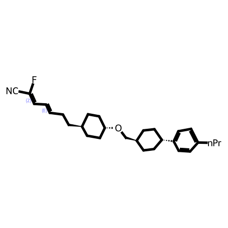 CCCc1ccc([C@H]2CC[C@H](CO[C@H]3CC[C@H](CC/C=C/C=C(\F)C#N)CC3)CC2)cc1